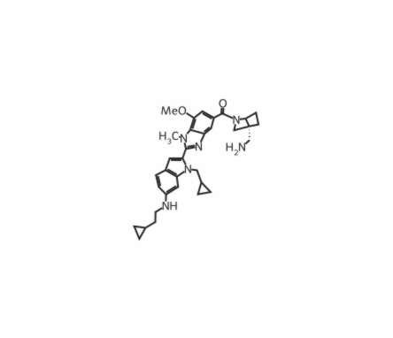 COc1cc(C(=O)N2C[C@]3(CN)CCC23)cc2nc(-c3cc4ccc(NCCC5CC5)cc4n3CC3CC3)n(C)c12